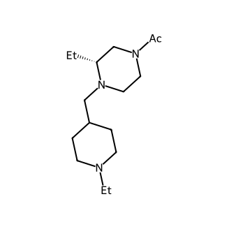 CC[C@@H]1CN(C(C)=O)CCN1CC1CCN(CC)CC1